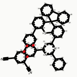 N#Cc1cc(C#N)cc(-c2ccc(-c3cccc4c3Sc3c(-c5nc(-c6ccccc6)nc(-c6ccccc6)n5)cccc3C43c4ccccc4-c4ccccc43)cc2)c1